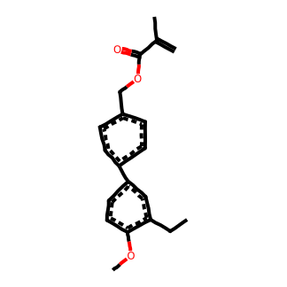 C=C(C)C(=O)OCc1ccc(-c2ccc(OC)c(CC)c2)cc1